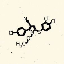 CCOCn1c(Sc2ccc(Cl)c(Cl)c2)cc(C#N)c1-c1ccc(Cl)cc1